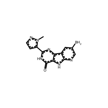 Bc1cnc2[nH]c3c(=O)[nH]c(-c4ccnn4C)nc3c2c1